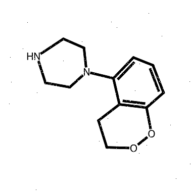 c1cc2c(c(N3CCNCC3)c1)CCOO2